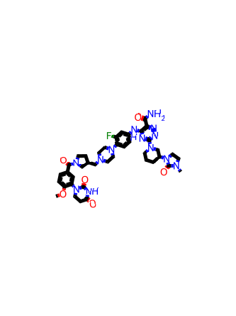 COc1ccc(C(=O)N2CCC(CN3CCN(c4ccc(Nc5nc(N6CCCC(N7CCN(C)C7=O)C6)nnc5C(N)=O)cc4F)CC3)C2)cc1N1CCC(=O)NC1=O